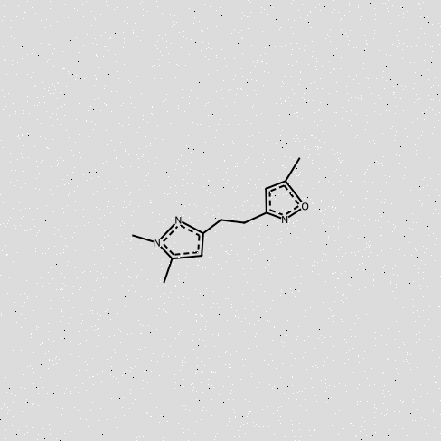 Cc1cc(CCc2cc(C)n(C)n2)no1